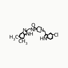 Cc1cc2nc(CNC(=O)C3CCN(Cc4c[nH]c5ccc(Cl)cc45)CC3)[nH]c2cc1C